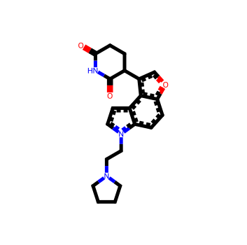 O=C1CCC(c2coc3ccc4c(ccn4CCN4CCCC4)c23)C(=O)N1